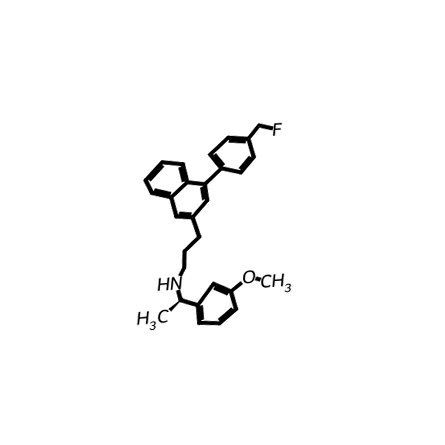 COc1cccc([C@@H](C)NCCCc2cc(-c3ccc(CF)cc3)c3ccccc3c2)c1